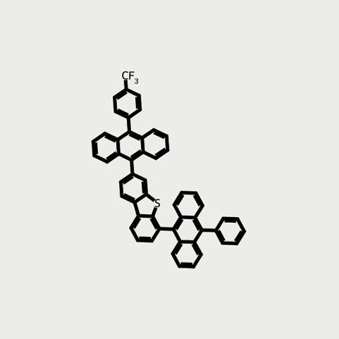 FC(F)(F)c1ccc(-c2c3ccccc3c(-c3ccc4c(c3)sc3c(-c5c6ccccc6c(-c6ccccc6)c6ccccc56)cccc34)c3ccccc23)cc1